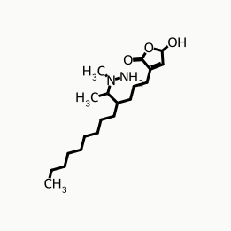 CCCCCCCCCC(CCCC1=CC(O)OC1=O)C(C)N(C)N